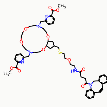 COC(=O)c1cccc(CN2CCOCCOCCN(Cc3cccc(C(=O)OC)n3)CCOC3CC(CSCCOCCNC(=O)CCC(=O)N4Cc5ccccc5C#Cc5ccccc54)CC3OCC2)n1